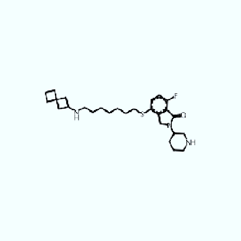 O=C1c2c(F)ccc(SCCCCCCCNC3CC4(CCC4)C3)c2CN1C1CCCNC1